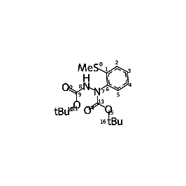 CSc1ccccc1N(NC(=O)OC(C)(C)C)C(=O)OC(C)(C)C